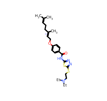 CCN(CC)CCSc1nnc(NC(=O)c2ccc(OC/C=C(\C)CCC=C(C)C)cc2)s1